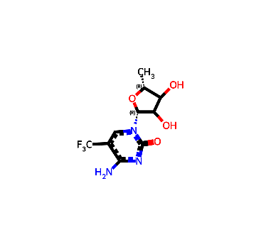 C[C@H]1O[C@@H](n2cc(C(F)(F)F)c(N)nc2=O)C(O)C1O